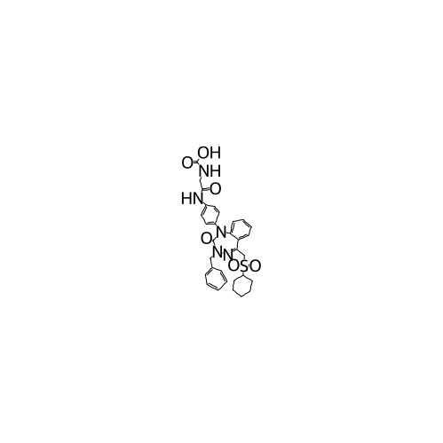 O=C(O)NCC(=O)Nc1ccc(N2C(=O)N(Cc3ccccc3)N=C(CS(=O)(=O)C3CCCCC3)c3ccccc32)cc1